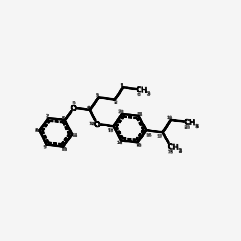 CCCCC(Oc1ccccc1)Oc1ccc(C(C)CC)cc1